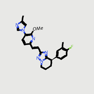 COc1nc(/C=C/c2nc3n(n2)CCC[C@@H]3c2ccc(F)c(C)c2)ccc1-n1cnc(C)c1